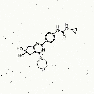 O=C(Nc1ccc(-c2nc3c(c(N4CCOCC4)n2)CS(O)(O)C3)cc1)NC1CC1